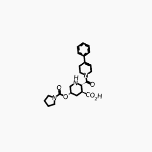 O=C(O)[C@H]1C[C@H](OC(=O)N2CCCC2)CN[C@@H]1C(=O)N1CC=C(c2ccccc2)CC1